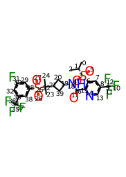 CC(C)S(=O)(=O)c1cc(C(F)(F)F)cnc1C(=O)N[C@H]1C[C@H](C(C)(C)S(=O)(=O)c2cc(F)cc(C(F)(F)F)c2)C1